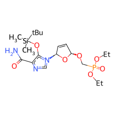 CCOP(=O)(CO[C@@H]1C=C[C@H](n2cnc(C(N)=O)c2O[Si](C)(C)C(C)(C)C)O1)OCC